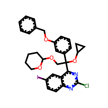 Clc1nc(C(COC2CCCCO2)(OC2CC2)c2cccc(OCc3ccccc3)c2)c2cc(I)ccc2n1